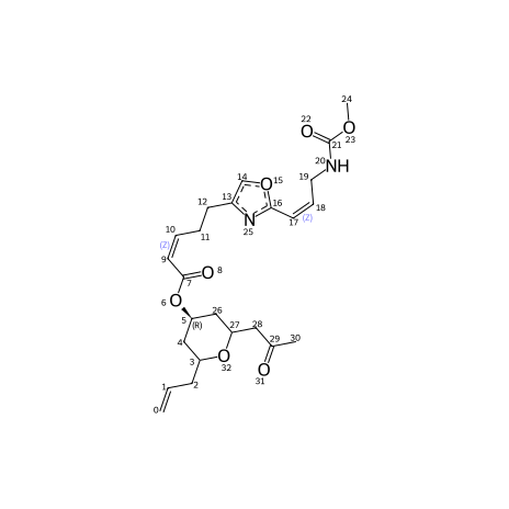 C=CCC1C[C@@H](OC(=O)/C=C\CCc2coc(/C=C\CNC(=O)OC)n2)CC(CC(C)=O)O1